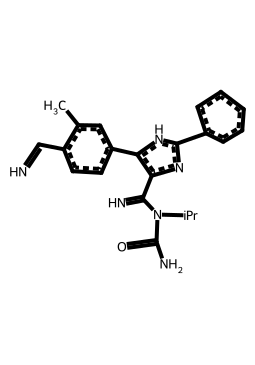 Cc1cc(-c2[nH]c(-c3ccccc3)nc2C(=N)N(C(N)=O)C(C)C)ccc1C=N